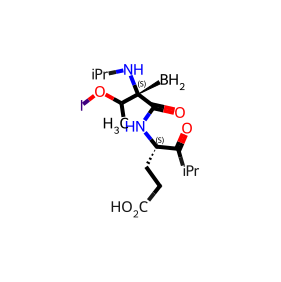 B[C@@](NC(C)C)(C(=O)N[C@@H](CCC(=O)O)C(=O)C(C)C)C(C)OI